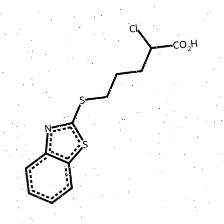 O=C(O)C(Cl)CCCSc1nc2ccccc2s1